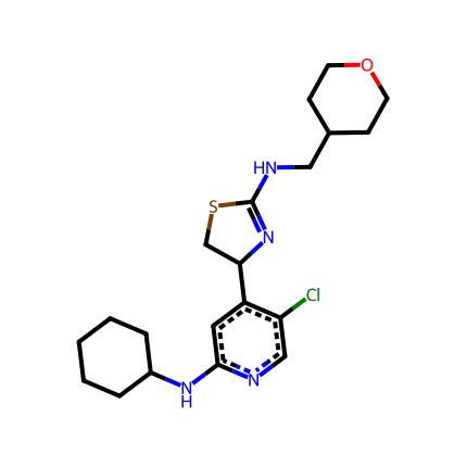 Clc1cnc(NC2CCCCC2)cc1C1CSC(NCC2CCOCC2)=N1